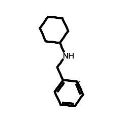 [c]1ccccc1CNC1CCCCC1